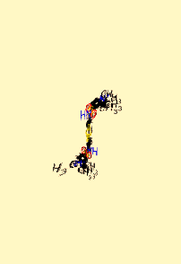 CC1=[N+](C)c2ccc(S(=O)(=O)NCCSSCCNS(=O)(=O)c3ccc4c(c3)C(C)(C)C(C)=[N+]4C)cc2C1(C)C